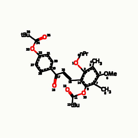 CCCOc1c(C)c(OC)c(C)c(OC(=O)C(C)(C)C)c1C=CC(=O)c1ccc(OC(=O)C(C)(C)C)cc1